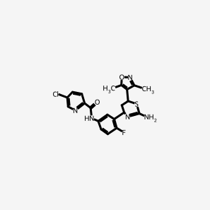 Cc1noc(C)c1C1CC(c2cc(NC(=O)c3ccc(Cl)cn3)ccc2F)N=C(N)S1